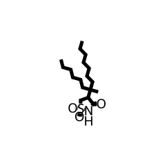 CCCCCCCC(C)(CCCCCC)C1CS(=O)(=O)NC1=O